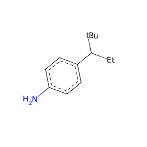 CCC(c1ccc(N)cc1)C(C)(C)C